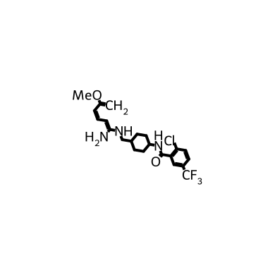 C=C(/C=C\C=C(/N)NCC1CCC(NC(=O)c2cc(C(F)(F)F)ccc2Cl)CC1)OC